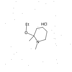 CCOC1(C)CCCCN1C.Cl